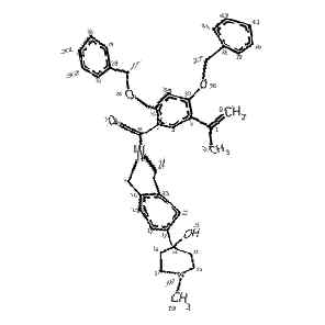 C=C(C)c1cc(C(=O)N2Cc3ccc(C4(O)CCN(C)CC4)cc3C2)c(OCc2ccccc2)cc1OCc1ccccc1